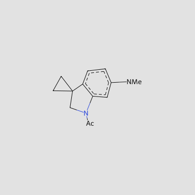 CNc1ccc2c(c1)N(C(C)=O)CC21CC1